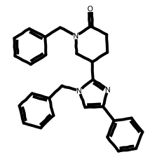 O=C1CCC(c2nc(-c3ccccc3)cn2Cc2ccccc2)CN1Cc1ccccc1